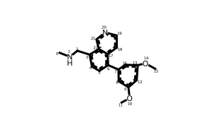 CNCc1ccc(-c2cc(OC)cc(OC)c2)c2ccncc12